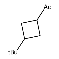 CC(=O)C1CC(C(C)(C)C)C1